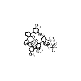 CCC1(CC)OP(Oc2c(-c3cc(C(C)(C)C)cc([Si](C)(C)C)c3Op3oc4c(-c5cc(C)cc(C)c5)cccc4c4cccc(-c5cc(C)cc(C)c5)c4o3)cc(C(C)(C)C)cc2[Si](C)(C)C)OC1=O